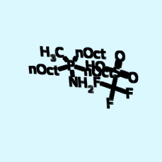 CCCCCCCCP(C)(N)(CCCCCCCC)CCCCCCCC.O=S(=O)(O)C(F)(F)F